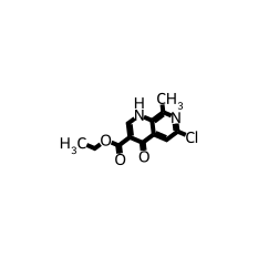 CCOC(=O)c1c[nH]c2c(C)nc(Cl)cc2c1=O